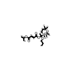 CCCOC(C)(OC(=O)C=CC(=O)OC(C)C)[Si]1(C)CCC(C)(C)O[Si]1(C)C